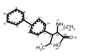 CCC(c1ccc(-c2ccccc2)cc1)[C@@](C)(N)C(=O)O